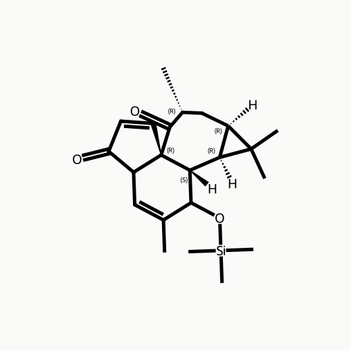 CC1=CC2C(=O)C=C[C@]23C(=O)[C@H](C)C[C@@H]2[C@H]([C@@H]3C1O[Si](C)(C)C)C2(C)C